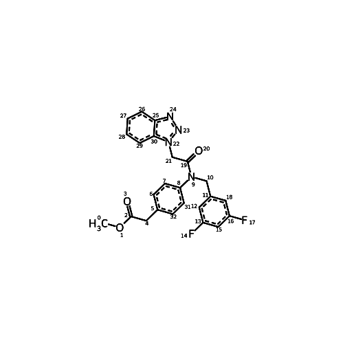 COC(=O)Cc1ccc(N(Cc2cc(F)cc(F)c2)C(=O)Cn2nnc3ccccc32)cc1